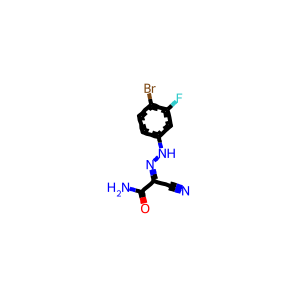 N#C/C(=N\Nc1ccc(Br)c(F)c1)C(N)=O